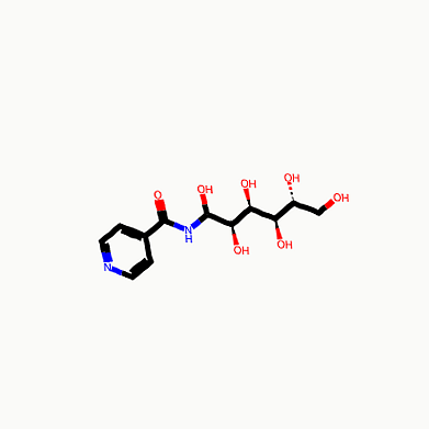 O=C(NC(O)[C@H](O)[C@@H](O)[C@H](O)[C@H](O)CO)c1ccncc1